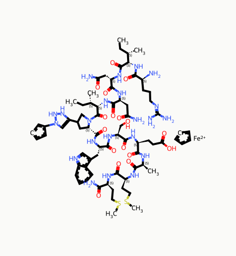 CC[C@H](C)[C@H](NC(=O)[C@@H](N)CCCN=C(N)N)C(=O)N[C@@H](CC(N)=O)C(=O)N[C@@H](CC(N)=O)C(=O)N[C@H](C(=O)N1CC(C2=CN(c3cc[cH-]c3)NN2)C[C@H]1C(=O)N[C@@H](Cc1c[nH]c2ccccc12)C(=O)N[C@@H](CO)C(=O)N[C@@H](CCC(=O)O)C(=O)N[C@@H](C)C(=O)N[C@@H](CCSC)C(=O)N[C@@H](CCSC)C(N)=O)[C@@H](C)CC.[Fe+2].c1cc[cH-]c1